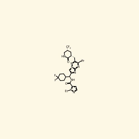 CCn1nccc1C(=O)N[C@H](c1cn2nc(C[C@H]3C[C@@H](C(F)(F)F)CNC3=O)c(C(C)C)nc2n1)C1CCC(F)(F)CC1